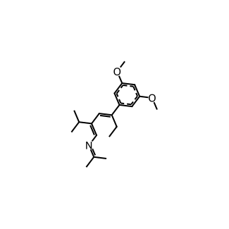 CC/C(=C\C(=C\N=C(C)C)C(C)C)c1cc(OC)cc(OC)c1